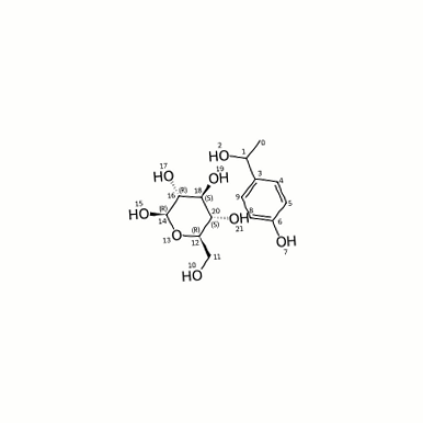 CC(O)c1ccc(O)cc1.OC[C@H]1O[C@@H](O)[C@H](O)[C@@H](O)[C@@H]1O